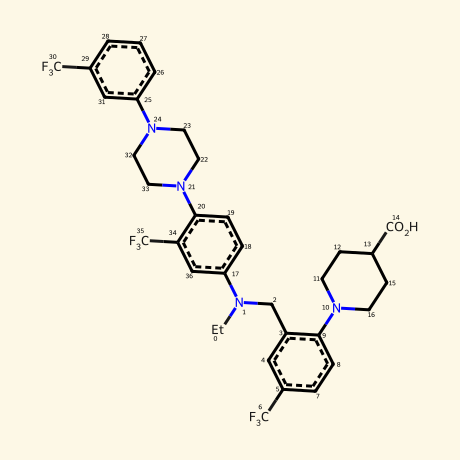 CCN(Cc1cc(C(F)(F)F)ccc1N1CCC(C(=O)O)CC1)c1ccc(N2CCN(c3cccc(C(F)(F)F)c3)CC2)c(C(F)(F)F)c1